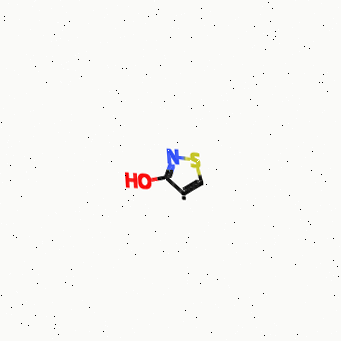 Oc1[c]csn1